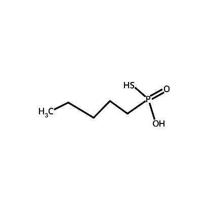 CCCCCP(=O)(O)S